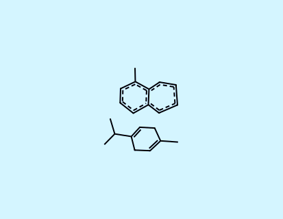 CC1=CCC(C(C)C)=CC1.Cc1cccc2ccccc12